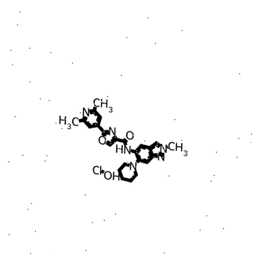 Cc1cc(-c2nc(C(=O)Nc3cc4cn(C)nc4cc3N3CCCCC3)co2)cc(C)n1.OCl